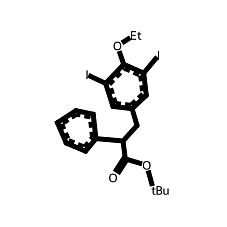 CCOc1c(I)cc(CC(C(=O)OC(C)(C)C)c2ccccc2)cc1I